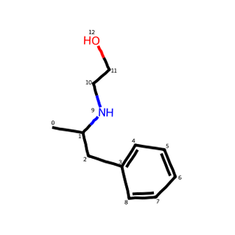 CC(Cc1ccccc1)NCCO